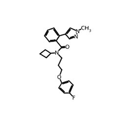 Cn1cc(-c2ccccc2C(=O)N(CCCOc2ccc(F)cc2)C2CCC2)cn1